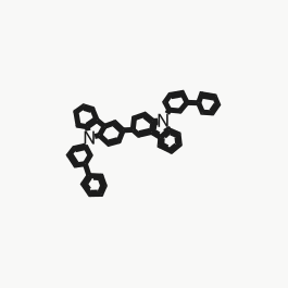 C1=CCC(C2C=CCC(n3c4c(c5ccccc53)=CC(C3=CC5C6=C(CCC=C6)N(C6=CC=CC(c7ccccc7)C6)C5C=C3)CC=4)C2)C=C1